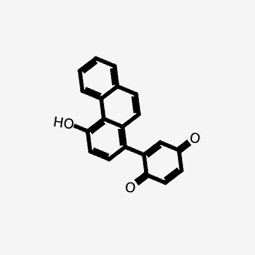 O=C1C=CC(=O)C(c2ccc(O)c3c2ccc2ccccc23)=C1